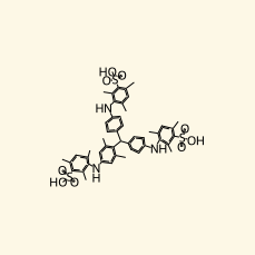 Cc1cc(C)c(S(=O)(=O)O)c(C)c1Nc1ccc(C(c2ccc(Nc3c(C)cc(C)c(S(=O)(=O)O)c3C)cc2)c2c(C)cc(Nc3c(C)cc(C)c(S(=O)(=O)O)c3C)cc2C)cc1